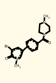 CN1CCN(C(=O)c2ccc(-c3cc(Br)c(=O)n(C)c3)cc2)CC1